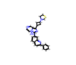 N[N+]12C=CN=CC1=C(C1CC(N3CCSC3)C1)N=C2c1ccc2ccc(-c3ccccc3)nc2c1